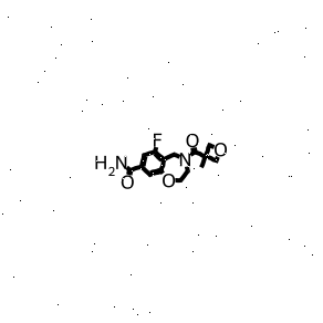 CC1(C(=O)N2CCOc3cc(C(N)=O)cc(F)c3C2)COC1